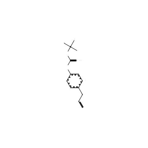 C=C[C]c1ccc(OC(=O)OC(C)(C)C)cc1